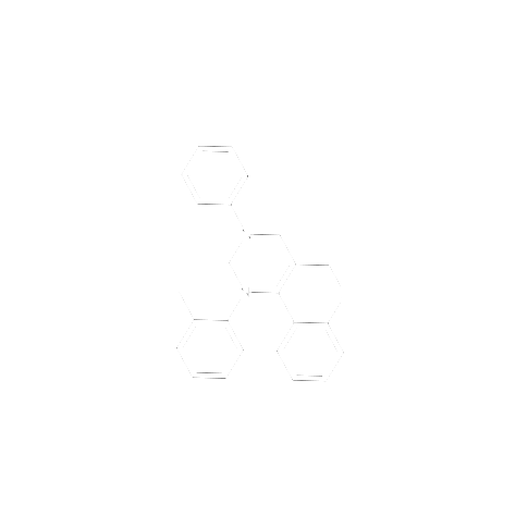 Cc1ccccc1N1CN(c2ccccc2)CC2=C1c1ccccc1OC2